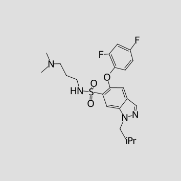 CC(C)Cn1ncc2cc(Oc3ccc(F)cc3F)c(S(=O)(=O)NCCCN(C)C)cc21